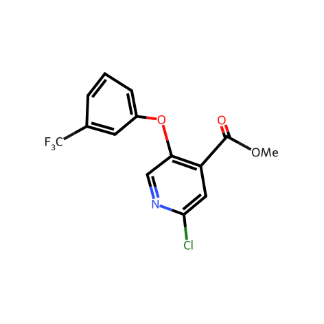 COC(=O)c1cc(Cl)ncc1Oc1cccc(C(F)(F)F)c1